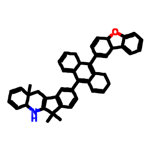 CC1(C)C2=C(CC3(C)C=CC=CC3N2)c2cc(C3=C4C=CCCC4=C(C4=CC5c6ccccc6OC5C=C4)C4CC=CC=C34)ccc21